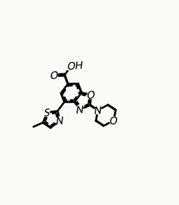 Cc1cnc(-c2cc(C(=O)O)cc3oc(N4CCOCC4)nc23)s1